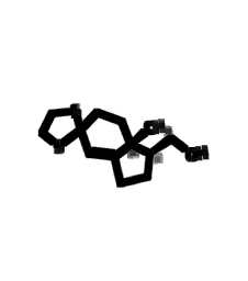 C[C@]12CCC3(C=C1CC[C@@H]2CO)SCCS3